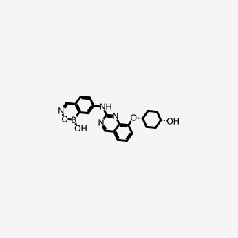 OB1ON=Cc2ccc(Nc3ncc4cccc(O[C@H]5CC[C@@H](O)CC5)c4n3)cc21